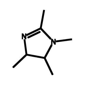 CC1=NC(C)C(C)N1C